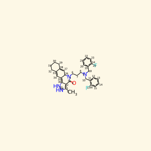 CC1=C2C(=O)N(CCCN(Cc3ccccc3F)Cc3ccccc3F)C3C=C4CCCCC4=CC3=C2NN1